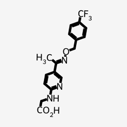 C/C(=N\OCc1ccc(C(F)(F)F)cc1)c1ccc(NCC(=O)O)nc1